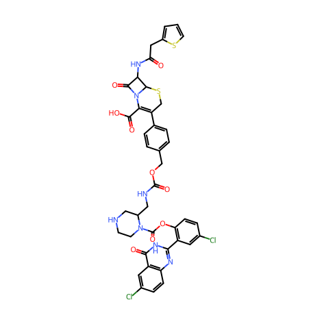 O=C(Cc1cccs1)NC1C(=O)N2C(C(=O)O)=C(c3ccc(COC(=O)NCC4CNCCN4C(=O)Oc4ccc(Cl)cc4-c4nc5ccc(Cl)cc5c(=O)[nH]4)cc3)CSC12